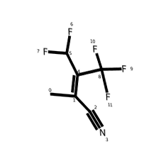 C/C(C#N)=C(\C(F)F)C(F)(F)F